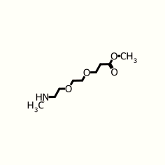 CNCCOCCOCCC(=O)OC